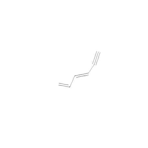 [CH]=C/C=C/C#C